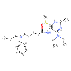 CCCN(CCCCC(=O)Nc1c(SC)nc(C)nc1N(CC)CC)c1ccccc1